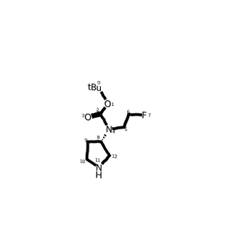 CC(C)(C)OC(=O)N(CCF)[C@H]1CCNC1